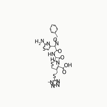 Cn1nnnc1SCC1=C(C(=O)O)N2C(=O)C(NC(=O)/C(=N/OCc3ccccc3)c3csc(N)n3)[C@H]2SC1